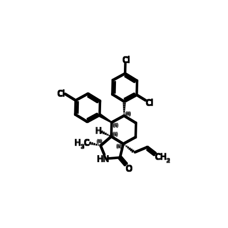 C=CC[C@@]12CC[C@@H](c3ccc(Cl)cc3Cl)[C@H](c3ccc(Cl)cc3)[C@@H]1[C@@H](C)NC2=O